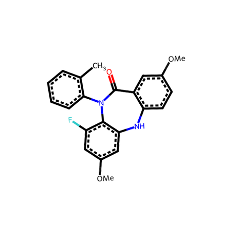 COc1cc(F)c2c(c1)Nc1ccc(OC)cc1C(=O)N2c1ccccc1C